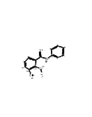 O=C(Nc1ccccc1)c1cccc(O)c1OCl